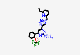 CCc1cccc(Cn2cc(-c3cc(-c4ccccc4OC(F)(F)F)nc(N)n3)nn2)n1